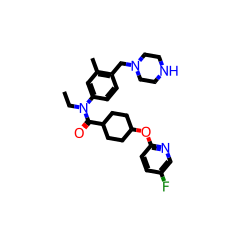 CCN(C(=O)C1CCC(Oc2ccc(F)cn2)CC1)c1ccc(CN2CCNCC2)c(C)c1